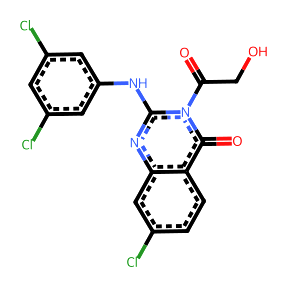 O=C(CO)n1c(Nc2cc(Cl)cc(Cl)c2)nc2cc(Cl)ccc2c1=O